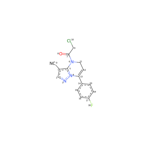 N#Cc1cnn2c1N(C(=O)CCl)CC=C2c1ccc(F)cc1